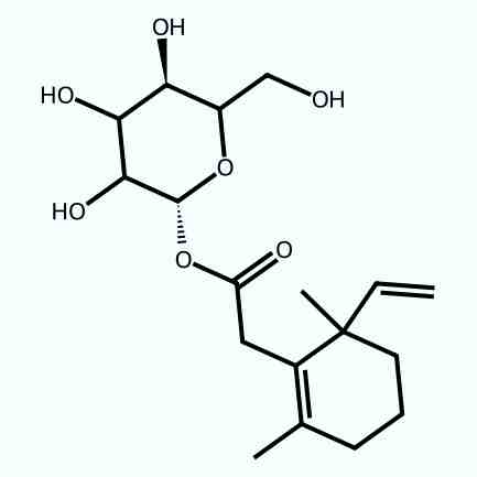 C=CC1(C)CCCC(C)=C1CC(=O)O[C@H]1OC(CO)[C@H](O)C(O)C1O